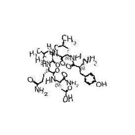 CC(C)C[C@H](NC(=O)[C@H](CC(C)C)NC(=O)[C@@H](N)Cc1ccc(O)cc1)C(=O)N[C@@H](CCC(N)=O)C(=O)N[C@@H](CC(=O)O)C(N)=O